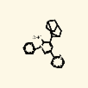 O=CC1C(C2C3CC4CC(C3)CC2C4)=CC(c2ccccn2)=CN1c1ccccc1